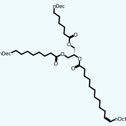 CCCCCCCC/C=C\CCCCCCCCCC(=O)O[C@@H](COC(=O)CCCCCCCCCCCCCCC)COC(=O)CCCCCCCCCCCCCCCCC